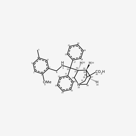 COc1ccc(C)cc1CNC(c1ccccc1)(c1ccccc1)[C@@H]1CN2CC[C@@H]1[C@@H](C(=O)O)C2